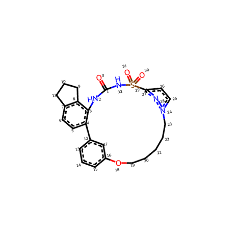 O=C1Nc2c(ccc3c2CCC3)-c2cccc(c2)OCCCCCn2ccc(n2)S(=O)(=O)N1